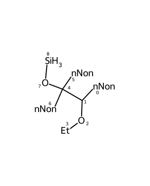 CCCCCCCCCC(OCC)C(CCCCCCCCC)(CCCCCCCCC)O[SiH3]